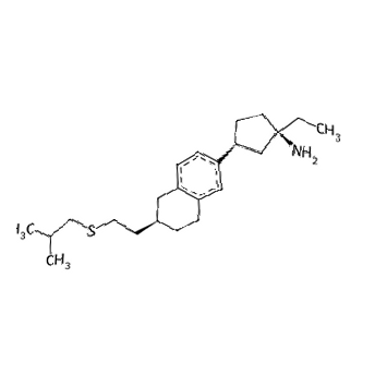 CC[C@@]1(N)CC[C@H](c2ccc3c(c2)CC[C@@H](CCSCC(C)C)C3)C1